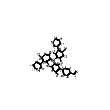 C=Cc1ccc(-c2c(C)cc(C)c(B(c3c(C)cc(C)c(-c4cccnc4)c3C)c3c(C)cc(C)c(-c4cccnc4)c3C)c2C)cc1